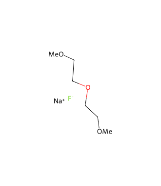 COCCOCCOC.[F-].[Na+]